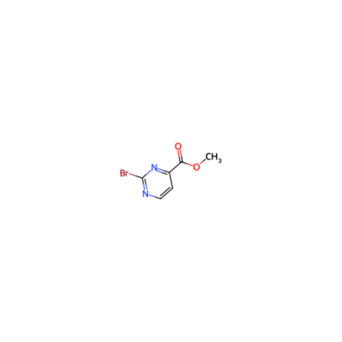 COC(=O)c1ccnc(Br)n1